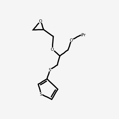 CC(C)OCC(CSc1ccsc1)OCC1CO1